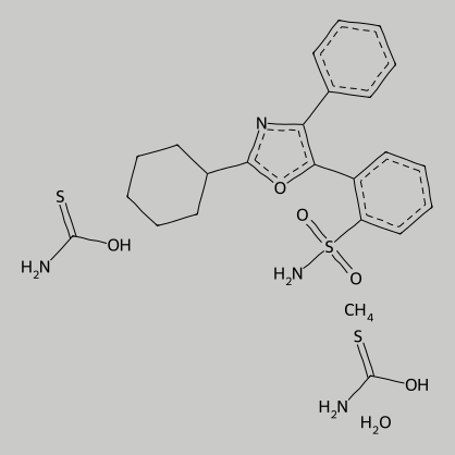 C.NC(O)=S.NC(O)=S.NS(=O)(=O)c1ccccc1-c1oc(C2CCCCC2)nc1-c1ccccc1.O